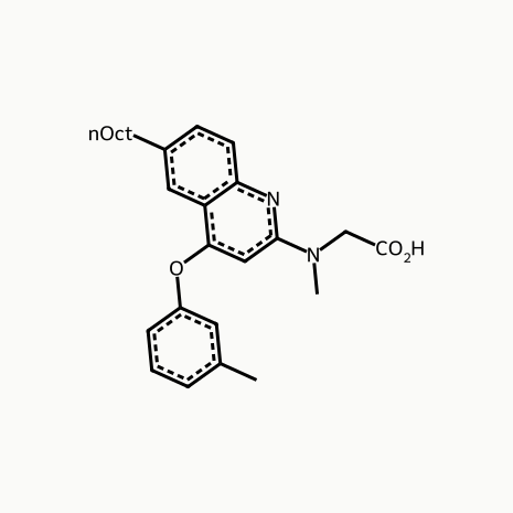 CCCCCCCCc1ccc2nc(N(C)CC(=O)O)cc(Oc3cccc(C)c3)c2c1